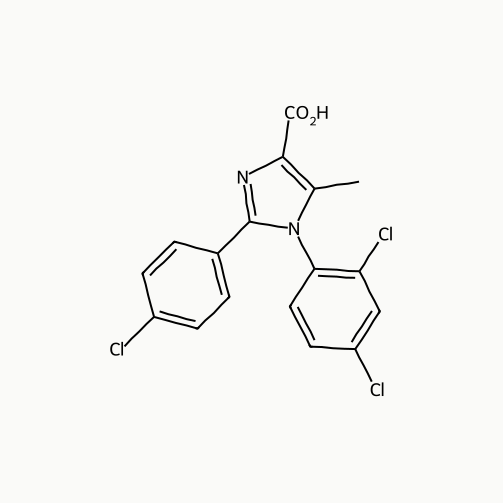 Cc1c(C(=O)O)nc(-c2ccc(Cl)cc2)n1-c1ccc(Cl)cc1Cl